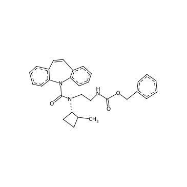 CC1CC[C@@H]1N(CCNC(=O)OCc1ccccc1)C(=O)N1c2ccccc2C=Cc2ccccc21